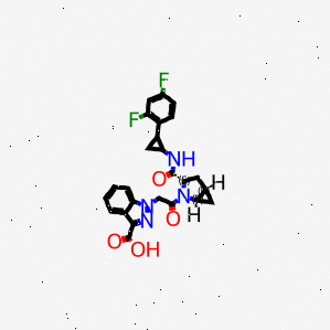 O=C(O)c1nn(CC(=O)N2[C@@H]3C[C@@H]3C[C@H]2C(=O)NC2CC2c2ccc(F)cc2F)c2ccccc12